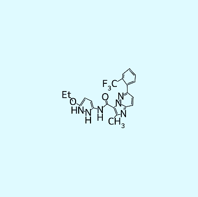 CCOC1=CC=C(NC(=O)c2c(C)nc3ccc(-c4ccccc4C(F)(F)F)nn23)NN1